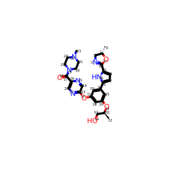 C[C@H]1CN=C(c2ccc(-c3cc(Oc4cnc(C(=O)N5CCN(C)CC5)cn4)cc(O[C@@H](C)CO)c3)[nH]2)O1